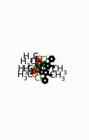 CCc1ccc2c(c1-c1ccccc1Cl)C=C(c1cc(C)c(C)o1)[CH]2[Zr]([Cl])([Cl])([CH]1C(c2cc(C)c(C)o2)=Cc2c1ccc(CC)c2-c1ccccc1Cl)=[Si](C)C